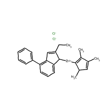 CCC1=Cc2c(-c3ccccc3)cccc2[CH]1[Zr+2][C]1=C(C)C(C)=CC1C.[Cl-].[Cl-]